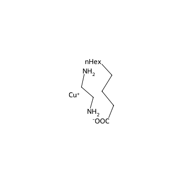 CCCCCCCCCC(=O)[O-].NCCN.[Cu+]